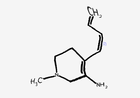 C=C/C=C\C1=C(N)CN(C)CC1